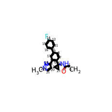 C=CC(=O)NC1(c2ccc(-c3ccc(F)cc3)cc2-c2ccn(C)n2)CC1